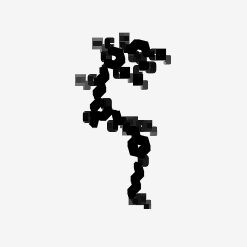 CC(=O)O[C@@H](C)/C=C\C(=O)N[C@@H]1C[C@H](C)[C@H](C/C=C(C)/C=C/[C@@H]2C[C@]3(CO3)C[C@@H](CC(=O)N/N=C(\C)c3ccc(OCCCCCN)cc3)O2)O[C@@H]1C